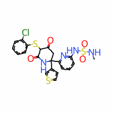 CNS(=O)(=O)Nc1cccc(C2(c3ccsc3)CC(=O)C(Sc3ccccc3Cl)C(=O)N2)n1